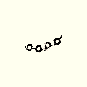 Ic1ccc(Sc2ccnc(Nc3ccc(N4CCOCC4)cc3)n2)cc1